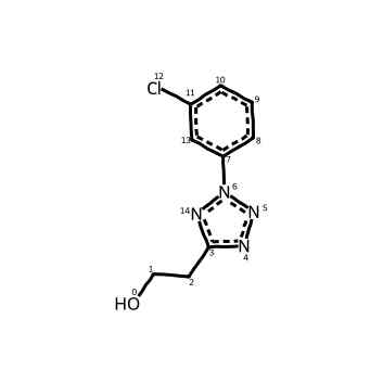 OCCc1nnn(-c2cccc(Cl)c2)n1